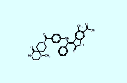 Cc1cc2c(cc1C(=O)O)NC(=O)/C2=C(/Nc1ccc(C(=O)N2CCC3(CC2)C(=O)NCCN3C)cc1)c1ccccc1